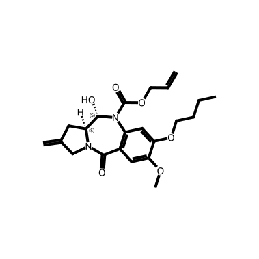 C=CCOC(=O)N1c2cc(OCCCC)c(OC)cc2C(=O)N2CC(=C)C[C@H]2[C@@H]1O